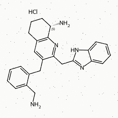 Cl.NCc1ccccc1Cc1cc2c(nc1Cc1nc3ccccc3[nH]1)[C@@H](N)CCC2